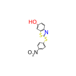 O=[N+]([O-])c1ccc(Sc2nc3ccc(O)cc3s2)cc1